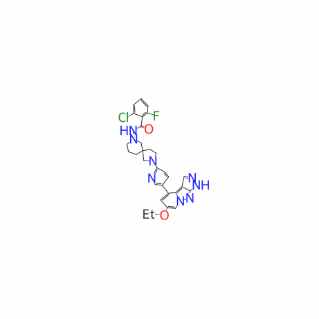 CCOc1cc(-c2ccc(N3CCC4(CCCN(NC(=O)c5c(F)cccc5Cl)C4)C3)nc2)c2c3cn[nH]c3nn2c1